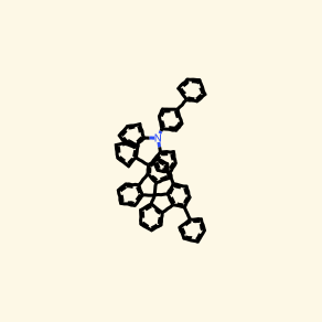 c1ccc(-c2ccc(N(c3ccccc3)c3ccc(-c4ccc(-c5ccccc5)c5c4C4(c6ccccc6-c6c(-c7ccccc7)cccc64)c4ccccc4-5)cc3)cc2)cc1